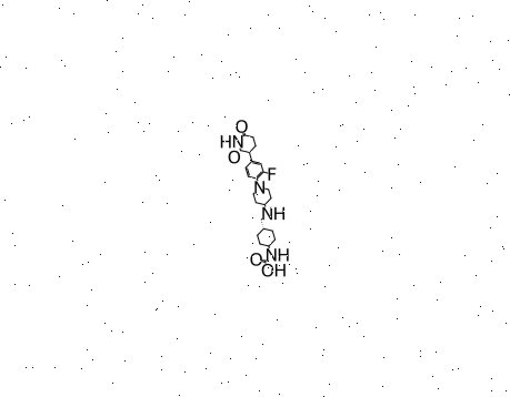 O=C1CCC(c2ccc(N3CCC(NC[C@H]4CC[C@H](NC(=O)O)CC4)CC3)c(F)c2)C(=O)N1